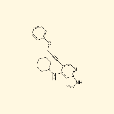 C(#Cc1cnc2[nH]ccc2c1NC1CCCCC1)COc1ccccc1